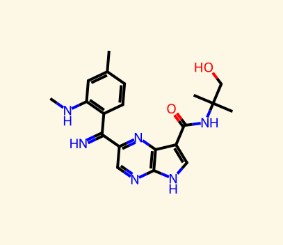 CNc1cc(C)ccc1C(=N)c1cnc2[nH]cc(C(=O)NC(C)(C)CO)c2n1